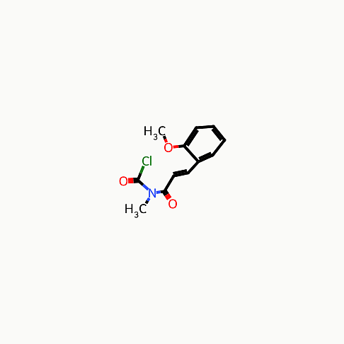 COc1ccccc1/C=C/C(=O)N(C)C(=O)Cl